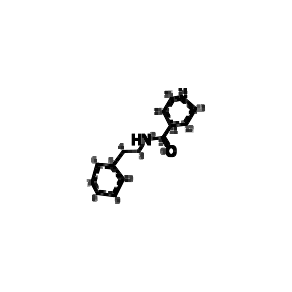 O=C(NCCc1ccccc1)c1c[c][c]cc1